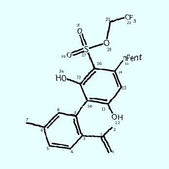 C=C(C)c1ccc(C)cc1-c1c(O)cc(CCCCC)c(S(=O)(=O)OCC(F)(F)F)c1O